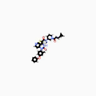 Cc1cc(Oc2ccccc2)ccc1N1C(=O)Nc2c(C(=O)N(C)C3CCCN(C(=O)/C=C/C4CC4)C3)sc3nccc1c23